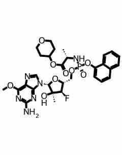 COc1nc(N)nc2c1ncn2[C@@H]1O[C@H](COP(=O)(N[C@@H](C)C(=O)OC2CCOCC2)Oc2cccc3ccccc23)[C@@H](F)[C@@]1(C)O